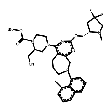 Cc1cccc2cccc(N3CCCc4c(nc(OC[C@@H]5CC(F)(F)CN5C)nc4N4CCN(C(=O)OC(C)(C)C)C(CC#N)C4)C3)c12